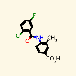 Cc1cc(C(=O)O)ccc1NC(=O)c1cc(F)ccc1Cl